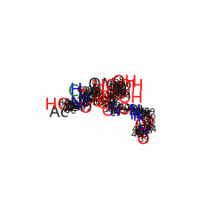 COc1ccc2c(OS(=O)(=O)Oc3cc(C(=O)N(C)CCOCCn4cc(CC(C)(C)COCC(C)(C)CN5C(=O)C=CC5=O)nn4)ccc3O[C@@H]3O[C@H](CO)[C@H](O)[C@H](O)[C@H]3O)cc3c(c2c1)[C@H](CCl)CN3C(=O)c1cc2cc(C(C)=O)c(O)cc2[nH]1